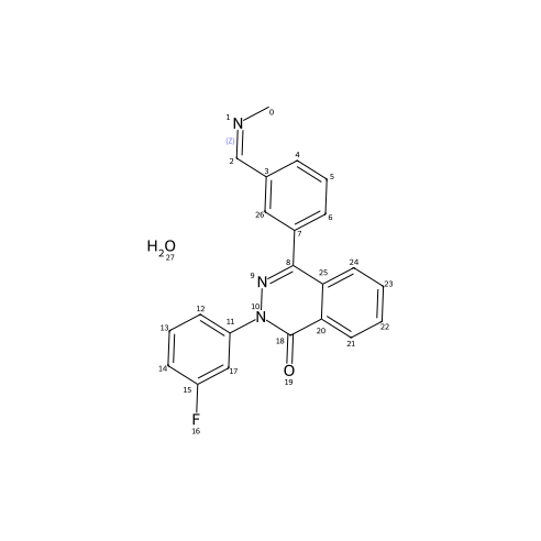 C/N=C\c1cccc(-c2nn(-c3cccc(F)c3)c(=O)c3ccccc23)c1.O